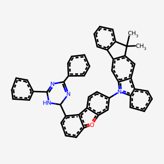 CC1(C)c2ccccc2-c2cc3c(cc21)c1ccccc1n3-c1ccc2c(c1)oc1cccc(C3N=C(c4ccccc4)N=C(c4ccccc4)N3)c12